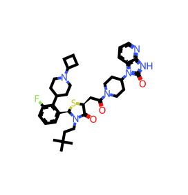 CC(C)(C)CCN1C(=O)[C@H](CC(=O)N2CCC(n3c(=O)[nH]c4ncccc43)CC2)S[C@@H]1c1cccc(F)c1C1CCN(C2CCC2)CC1